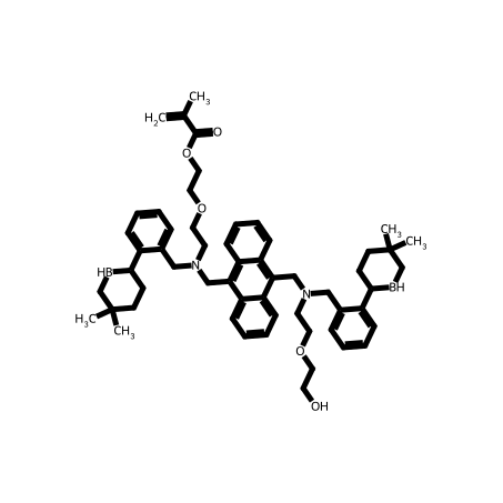 C=C(C)C(=O)OCCOCCN(Cc1ccccc1C1BCC(C)(C)CC1)Cc1c2ccccc2c(CN(CCOCCO)Cc2ccccc2C2BCC(C)(C)CC2)c2ccccc12